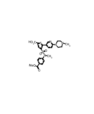 COC(=O)c1ccc(N(C)S(=O)(=O)c2cc(C(=O)O)sc2-c2ccc(N3CCN(C)CC3)nc2)cc1